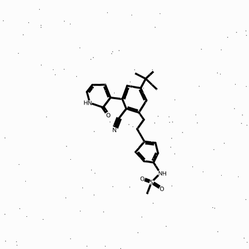 CC(C)(C)c1cc(CCc2ccc(NS(C)(=O)=O)cc2)c(C#N)c(-c2ccc[nH]c2=O)c1